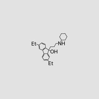 CCc1ccc2c(c1)-c1ccc(CC)cc1C2(O)CCCNC1CCCCC1